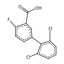 O=C(O)c1cc(-c2c(Cl)cccc2Cl)ccc1F